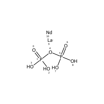 O=P(O)(O)OP(=O)(O)O.[La].[Nd]